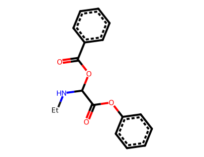 CCNC(OC(=O)c1ccccc1)C(=O)Oc1ccccc1